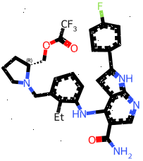 CCc1c(CN2CCC[C@@H]2COC(=O)C(F)(F)F)cccc1Nc1c(C(N)=O)cnc2[nH]c(-c3ccc(F)cc3)cc12